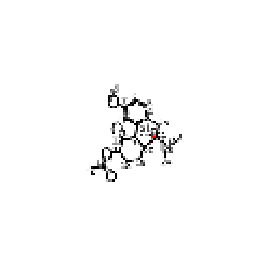 CC[C@@]12c3c4ccc(OC)c3OC1C(OC(C)=O)CCC2C(N(C)C)C4